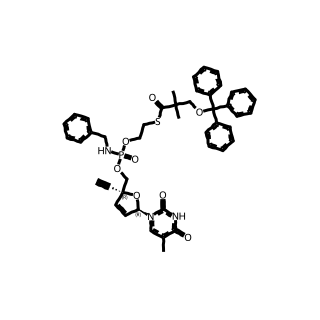 C#C[C@@]1(COP(=O)(NCc2ccccc2)OCCSC(=O)C(C)(C)COC(c2ccccc2)(c2ccccc2)c2ccccc2)C=C[C@H](n2cc(C)c(=O)[nH]c2=O)O1